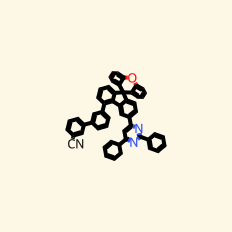 N#Cc1cccc(-c2cccc(-c3cccc4c3-c3cc(-c5cc(C6C=CC=CC6)nc(-c6ccccc6)n5)ccc3C43c4ccccc4Oc4ccccc43)c2)c1